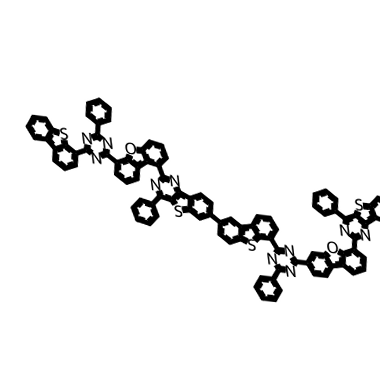 c1ccc(-c2nc(-c3ccc4c(c3)oc3c(-c5nc(-c6ccccc6)c6sc7ccccc7c6n5)cccc34)nc(-c3cccc4c3sc3ccc(-c5ccc6c(c5)sc5c(-c7ccccc7)nc(-c7cccc8oc9c(-c%10nc(-c%11ccccc%11)nc(-c%11cccc%12c%11sc%11ccccc%11%12)n%10)cccc9c78)nc56)cc34)n2)cc1